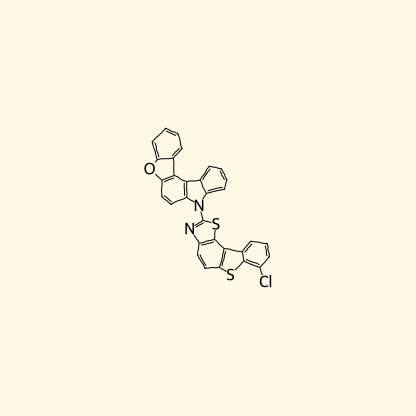 Clc1cccc2c1sc1ccc3nc(-n4c5ccccc5c5c6c(ccc54)oc4ccccc46)sc3c12